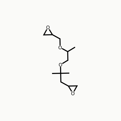 CC(COC(C)(C)CC1CO1)OCC1CO1